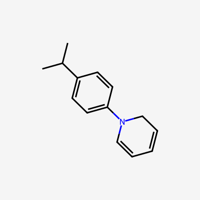 CC(C)c1ccc(N2C=CC=CC2)cc1